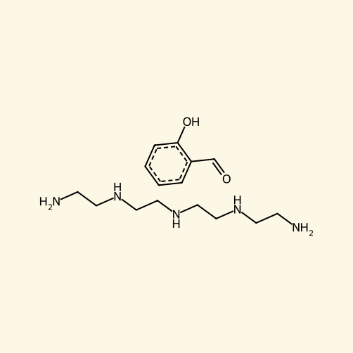 NCCNCCNCCNCCN.O=Cc1ccccc1O